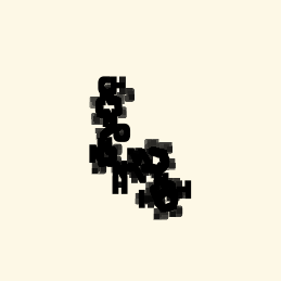 CN1CCN(C(=O)Cn2cc(Nc3nc4c(N5C[C@@H]6CC[C@@H](C6)C5)cccn4n3)cn2)CC1